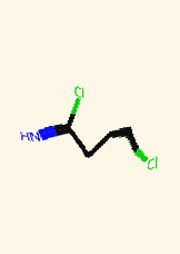 N=C(Cl)CCCl